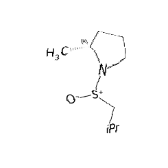 CC(C)C[S+]([O-])N1CCC[C@H]1C